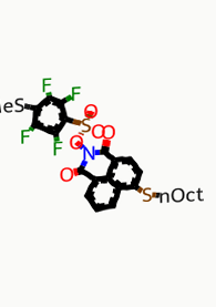 CCCCCCCCSc1ccc2c3c(cccc13)C(=O)N(OS(=O)(=O)c1c(F)c(F)c(SC)c(F)c1F)C2=O